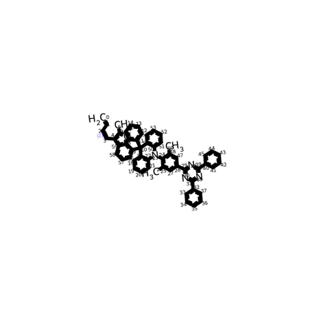 C=C/C=C\c1c(C)oc2c(C3(c4ccccc4)c4ccccc4N(c4c(C)cc(-c5nc(-c6ccccc6)nc(-c6ccccc6)n5)cc4C)c4ccccc43)cccc12